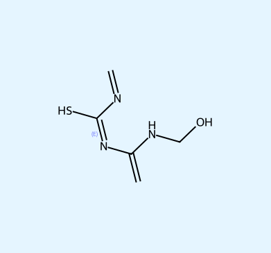 C=N/C(S)=N\C(=C)NCO